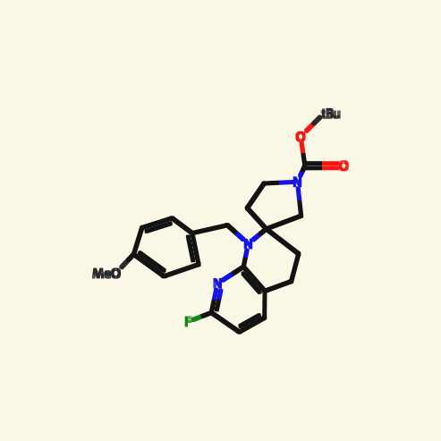 COc1ccc(CN2c3nc(F)ccc3CCC23CCN(C(=O)OC(C)(C)C)C3)cc1